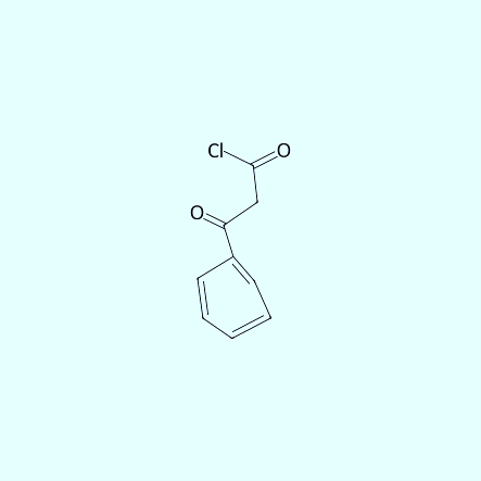 O=C(Cl)CC(=O)c1ccccc1